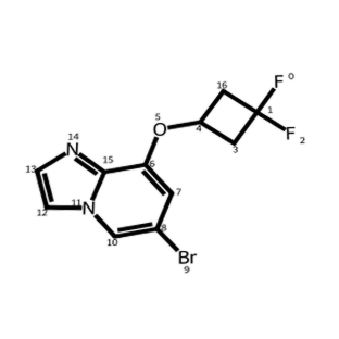 FC1(F)CC(Oc2cc(Br)cn3ccnc23)C1